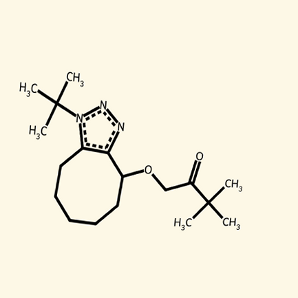 CC(C)(C)C(=O)COC1CCCCCc2c1nnn2C(C)(C)C